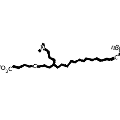 CCCCC=C=CCCCCCCCCCCCCC(CCCCCCCCC(=O)O)CCCN(C)C